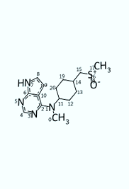 CN(c1ncnc2[nH]ccc12)C1CCC(C[S+](C)[O-])CC1